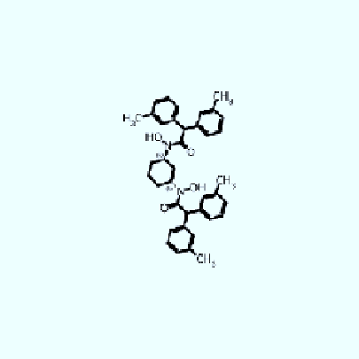 Cc1cccc(C(C(=O)N(O)[C@@H]2CCC[C@@H](N(O)C(=O)C(c3cccc(C)c3)c3cccc(C)c3)C2)c2cccc(C)c2)c1